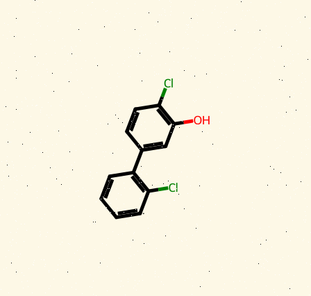 Oc1cc(-c2ccc[c]c2Cl)ccc1Cl